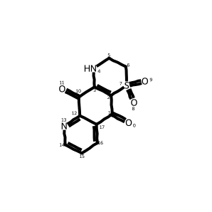 O=C1C2=C(NCCS2(=O)=O)C(=O)c2ncccc21